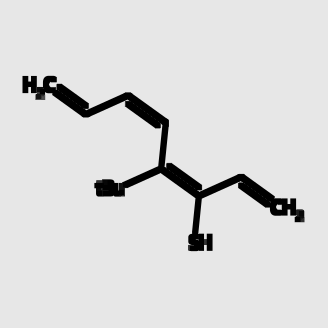 C=C/C=C\C(=C(\S)C=C)C(C)(C)C